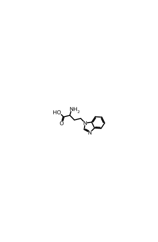 NC(CCn1cnc2ccccc21)C(=O)O